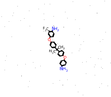 CC(C)(c1ccc(Oc2ccc(N)cc2)cc1)c1ccc(Oc2ccc(N)c(C(F)(F)F)c2)cc1